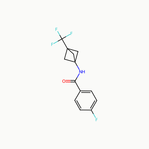 O=C(NC12CC(C(F)(F)F)(C1)C2)c1ccc(F)cc1